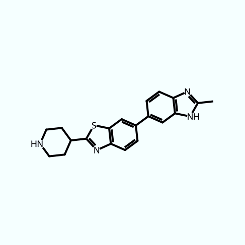 Cc1nc2ccc(-c3ccc4nc(C5CCNCC5)sc4c3)cc2[nH]1